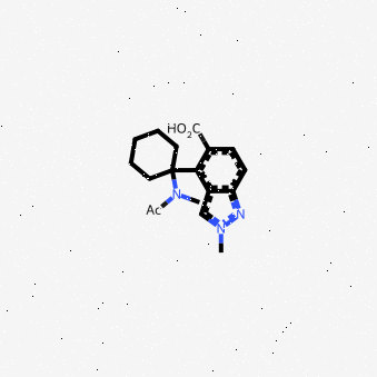 CC(=O)N(C)C1(c2c(C(=O)O)ccc3nn(C)cc23)CCCCC1